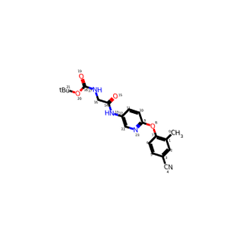 Cc1cc(C#N)ccc1Oc1ccc(NC(=O)CNC(=O)OC(C)(C)C)cn1